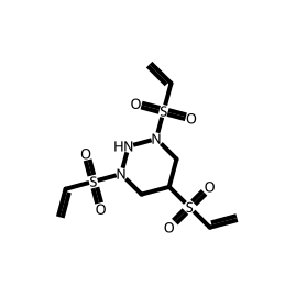 C=CS(=O)(=O)C1CN(S(=O)(=O)C=C)NN(S(=O)(=O)C=C)C1